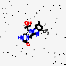 Cc1cc(C(F)(F)F)c2nc(CN3CCNCC3=O)n(CC(C)(C)O)c2c1